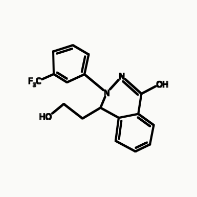 OCCC1c2ccccc2C(O)=NN1c1cccc(C(F)(F)F)c1